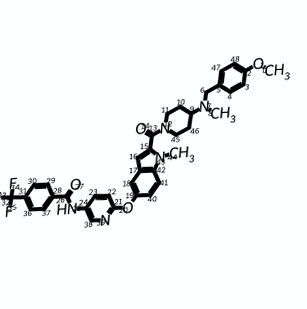 COc1ccc(CN(C)C2CCN(C(=O)c3cc4cc(Oc5ccc(NC(=O)c6ccc(C(F)(F)F)cc6)cn5)ccc4n3C)CC2)cc1